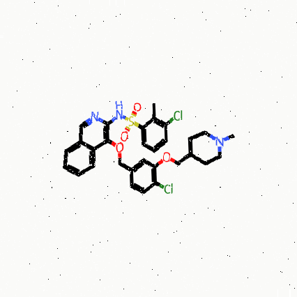 Cc1c(Cl)cccc1S(=O)(=O)Nc1ncc2ccccc2c1OCc1ccc(Cl)c(OCC2CCN(C)CC2)c1